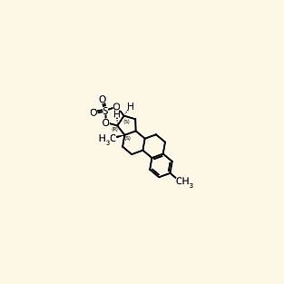 Cc1ccc2c(c1)CCC1C2CC[C@@]2(C)C1C[C@@H]1OS(=O)(=O)O[C@@H]12